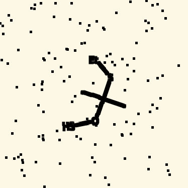 CCSC(C)(C)OS